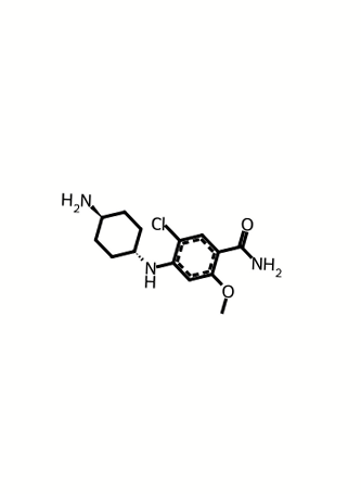 COc1cc(N[C@H]2CC[C@H](N)CC2)c(Cl)cc1C(N)=O